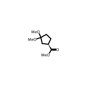 COC(=O)[C@@H]1CCC(OC)(OC)C1